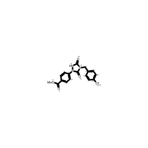 COC(=O)c1ccc(-n2[nH]c(=O)n(Cc3ccc(C(F)(F)F)cc3)c2=O)cc1